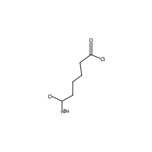 CCCCC(Cl)CCCCC(=O)Cl